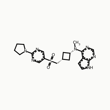 CN(c1ncnc2[nH]ccc12)[C@H]1C[C@@H](CS(=O)(=O)c2cnc(N3CCCC3)nc2)C1